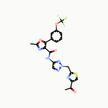 CC(=O)c1csc(Cn2ncc(NC(=O)c3nc(C)oc3-c3cccc(OC(F)(F)F)c3)n2)n1